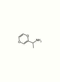 CC(N)C1=COC=CO1